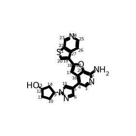 Nc1ncc(-c2cnn([C@@H]3CC[C@@H](O)C3)c2)c2cc(-c3csc4cnccc34)oc12